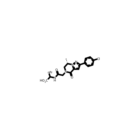 CCCC(NC(=O)CN1C[C@H](C)n2nc(-c3ccc(Cl)cc3)cc2C1=O)C(=O)O